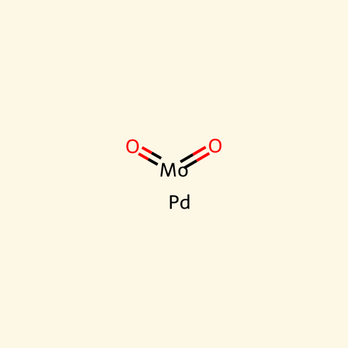 [O]=[Mo]=[O].[Pd]